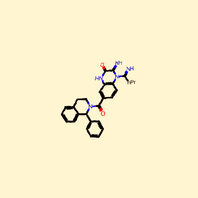 CCCC(=N)n1c(=N)c(=O)[nH]c2cc(C(=O)N3CCc4ccccc4C3c3ccccc3)ccc21